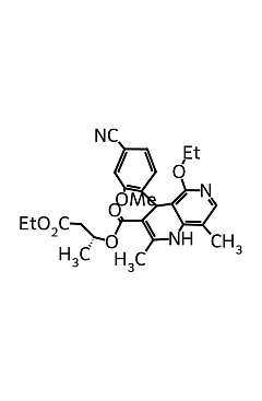 CCOC(=O)C[C@@H](C)OC(=O)C1=C(C)Nc2c(C)cnc(OCC)c2C1c1ccc(C#N)cc1OC